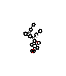 c1ccc(-c2ccc(N(c3ccc(C4(c5ccccc5)c5ccccc5C5(c6ccccc6)c6ccccc6-c6cccc4c65)cc3)c3ccc4c5ccccc5n(-c5ccc(-c6ccccc6)cc5)c4c3)cc2)cc1